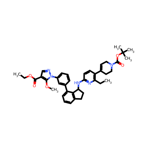 CCOC(=O)c1cnn(-c2cccc(-c3cccc4c3C(Nc3ccc(C5=CCN(C(=O)OC(C)(C)C)CC5)c(CC)n3)CC4)c2)c1OC